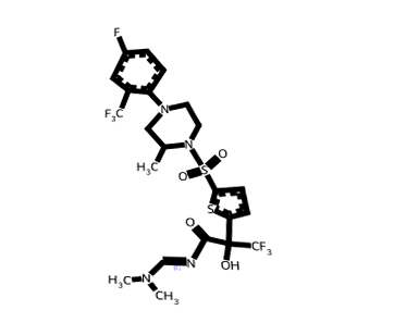 CC1CN(c2ccc(F)cc2C(F)(F)F)CCN1S(=O)(=O)c1ccc(C(O)(C(=O)/N=C/N(C)C)C(F)(F)F)s1